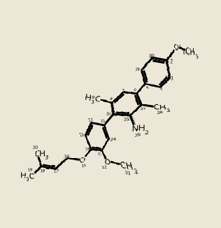 COc1ccc(-c2cc(C)c(-c3ccc(OCC=C(C)C)c(OC)c3)c(N)c2C)cc1